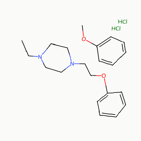 CCN1CCN(CCOc2ccccc2)CC1.COc1ccccc1.Cl.Cl